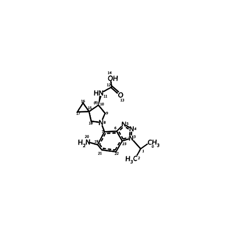 CC(C)n1nnc2c(N3C[C@H](NC(=O)O)C4(CC4)C3)c(N)ccc21